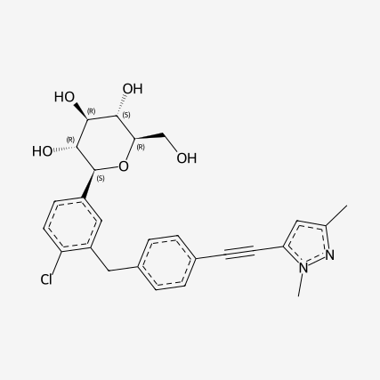 Cc1cc(C#Cc2ccc(Cc3cc([C@@H]4O[C@H](CO)[C@@H](O)[C@H](O)[C@H]4O)ccc3Cl)cc2)n(C)n1